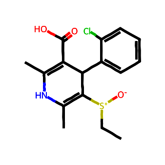 CC[S+]([O-])C1=C(C)NC(C)=C(C(=O)O)C1c1ccccc1Cl